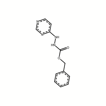 O=C(NNc1ccncn1)OCc1ccccc1